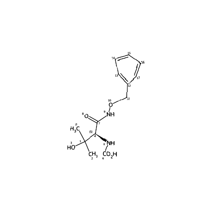 CC(C)(O)[C@H](NC(=O)O)C(=O)NOCc1ccccc1